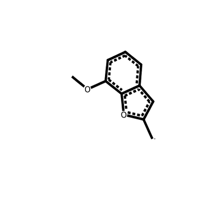 [CH2]c1cc2cccc(OC)c2o1